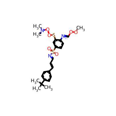 COO/C=N/c1ccc(S(=O)(=O)N=CC=Cc2ccc(C(C)(C)C)cc2)cc1SOON(C)C